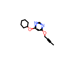 CC#CCOc1cc(OC2CCCCC2)ncn1